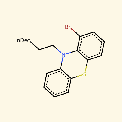 CCCCCCCCCCCCN1c2ccccc2Sc2cccc(Br)c21